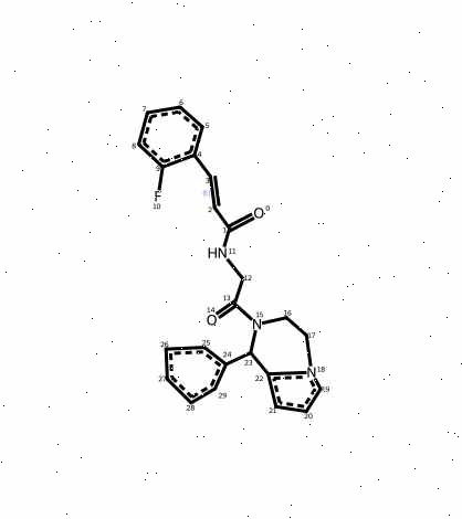 O=C(/C=C/c1ccccc1F)NCC(=O)N1CCn2cccc2C1c1ccccc1